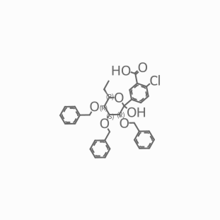 CC[C@H]1OC(O)(c2ccc(Cl)c(C(=O)O)c2)[C@H](OCc2ccccc2)[C@@H](OCc2ccccc2)[C@@H]1OCc1ccccc1